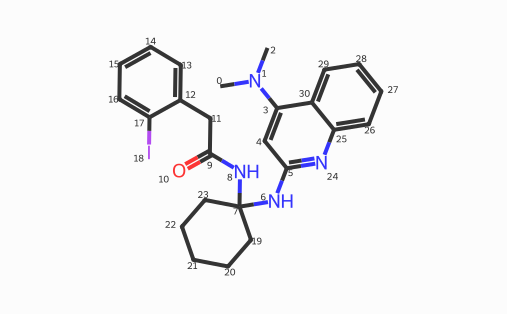 CN(C)c1cc(NC2(NC(=O)Cc3ccccc3I)CCCCC2)nc2ccccc12